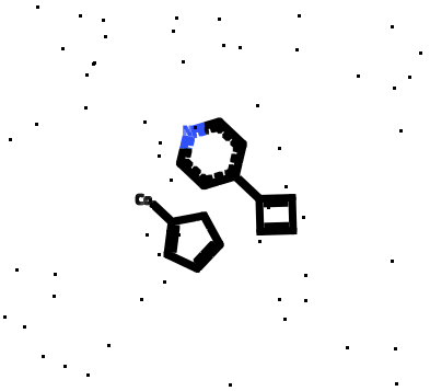 C1=CC(c2ccncc2)=C1.[Co][C]1=CC=CC1